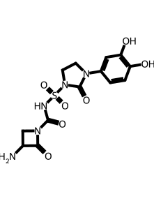 NC1CN(C(=O)NS(=O)(=O)N2CCN(c3ccc(O)c(O)c3)C2=O)C1=O